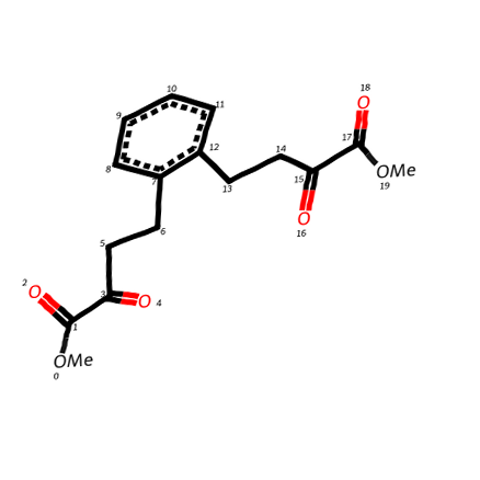 COC(=O)C(=O)CCc1ccccc1CCC(=O)C(=O)OC